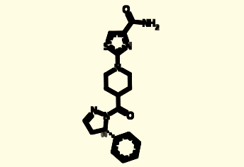 NC(=O)c1csc(N2CCC(C(=O)N3N=CC[C@H]3c3ccccc3)CC2)n1